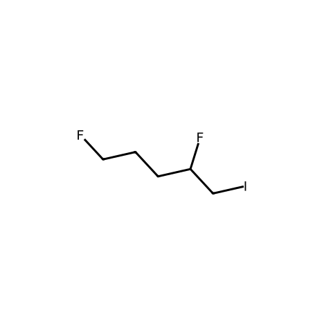 FCCCC(F)CI